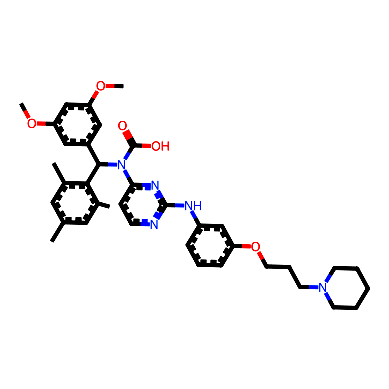 COc1cc(OC)cc(C(c2c(C)cc(C)cc2C)N(C(=O)O)c2ccnc(Nc3cccc(OCCCN4CCCCC4)c3)n2)c1